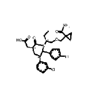 CC[C@@H](COCC1(C(N)=O)CC1)N1C(=O)[C@H](CC(=O)O)C[C@H](c2cccc(Cl)c2)C1c1ccc(Cl)cc1